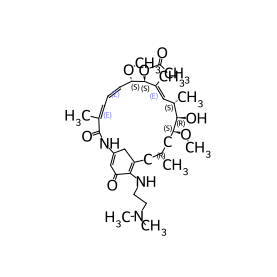 CO[C@H]1/C=C\C=C(/C)C(=O)NC2=CC(=O)C(NCCN(C)C)=C(C2)C[C@@H](C)C[C@H](OC)[C@H](O)[C@@H](C)/C=C(\C)[C@@H]1OC(C)=O